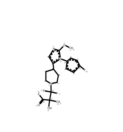 COc1ncc(C2CCN(C(F)(F)C(C)(O)C(=O)F)CC2)n1-c1ccc(F)cc1